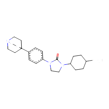 O=C(O)C1CCC(N2CCN(c3ccc(C45CCN(CC4)CC5)cc3)C2=O)CC1